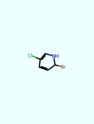 ClC1=CNC(Br)C=C1